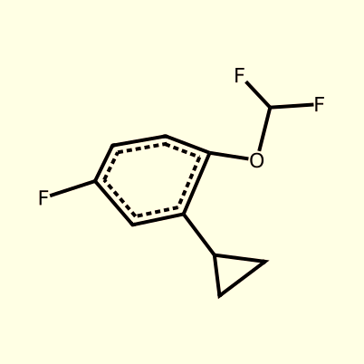 Fc1ccc(OC(F)F)c(C2CC2)c1